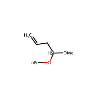 C=CC[SiH](OC)OCCC